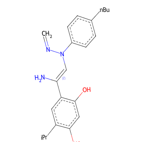 C=NN(/C=C(\N)c1cc(C(C)C)c(O)cc1O)c1ccc(CCCC)cc1